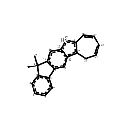 CC1(C)c2ccccc2-c2cc3c4c([nH]c3cc21)C=CC=CC4